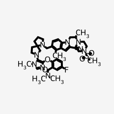 Cc1c(CN2CCCC23CCN(c2c(Oc4ccc(F)cc4C(=O)N(C)C)ncn2C)C3)ccc2c1cc(C#N)n2CC(C)N1CCN(S(C)(=O)=O)CC1